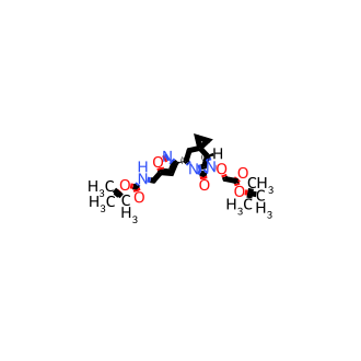 CC(C)(C)OC(=O)CON1C(=O)N2C[C@@H]1C1(CC1)C[C@H]2c1cc(CNC(=O)OC(C)(C)C)on1